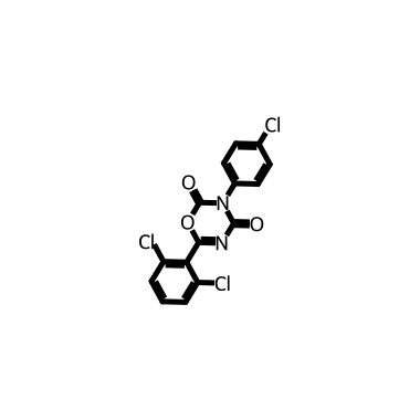 O=c1nc(-c2c(Cl)cccc2Cl)oc(=O)n1-c1ccc(Cl)cc1